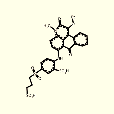 CCOc1c2c3c(c(Nc4ccc(S(=O)(=O)CCCS(=O)(=O)O)cc4S(=O)(=O)O)ccc3n(C)c1=O)C(=O)c1ccccc1-2